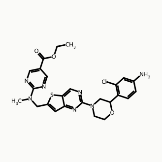 CCOC(=O)c1cnc(N(C)Cc2cc3nc(N4CCOC(c5ccc(N)cc5Cl)C4)ncc3s2)nc1